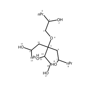 CCCC(O)COC(CC(O)CCC)(CC(O)CCC)C(O)CO